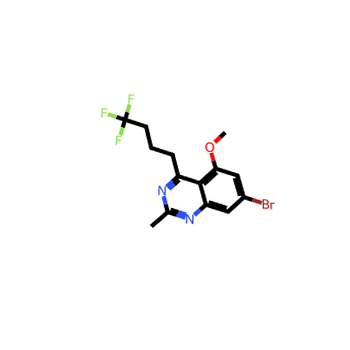 COc1cc(Br)cc2nc(C)nc(CCCC(F)(F)F)c12